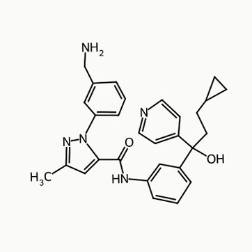 Cc1cc(C(=O)Nc2cccc(C(O)(CCC3CC3)c3ccncc3)c2)n(-c2cccc(CN)c2)n1